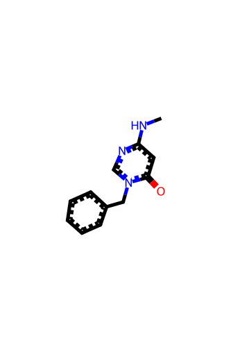 CNc1cc(=O)n(Cc2ccccc2)cn1